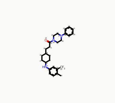 Cc1ccc(NC2CCC(CCC(=O)N3CCN(c4ccccc4)CC3)CC2)cc1C(F)(F)F